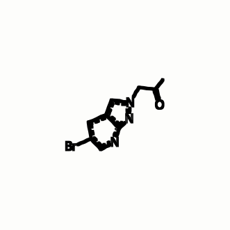 CC(=O)Cn1cc2cc(Br)cnc2n1